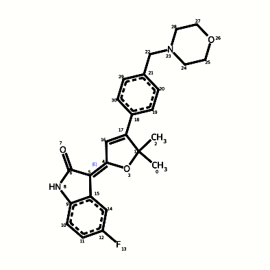 CC1(C)O/C(=C2/C(=O)Nc3ccc(F)cc32)C=C1c1ccc(CN2CCOCC2)cc1